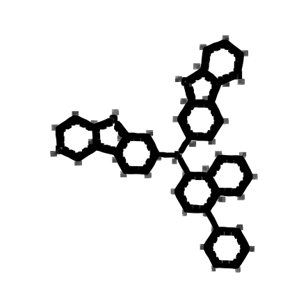 c1ccc(-c2ccc(N(c3ccc4c(c3)oc3ccncc34)c3ccc4c(c3)oc3cccnc34)c3ccccc23)cc1